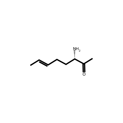 C/C=C/CC[C@H](N)C(C)=O